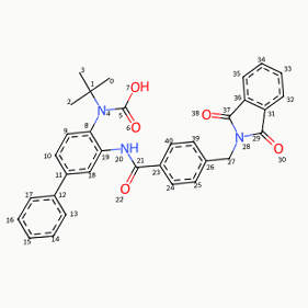 CC(C)(C)N(C(=O)O)c1ccc(-c2ccccc2)cc1NC(=O)c1ccc(CN2C(=O)c3ccccc3C2=O)cc1